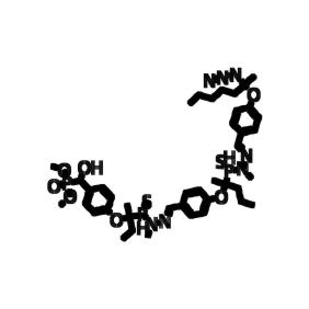 CCCCCC(C)(N=[N+]=[N-])Oc1ccc(/C=N/N(C)[PH](=S)C(C)(CCC)Oc2ccc(/C=N/N(C)[PH](=S)C(C)(CC)Oc3ccc(C(O)P(=O)(OC)OC)cc3)cc2)cc1